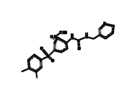 Cc1ccc(S(=O)(=O)c2ccc(NC(=O)NCc3cccnc3)cc2)cc1C.NC=O